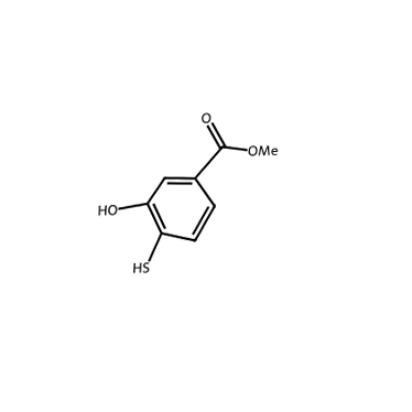 COC(=O)c1ccc(S)c(O)c1